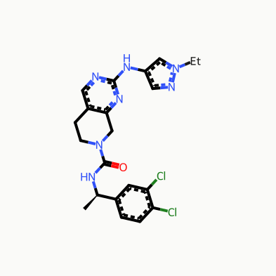 CCn1cc(Nc2ncc3c(n2)CN(C(=O)N[C@H](C)c2ccc(Cl)c(Cl)c2)CC3)cn1